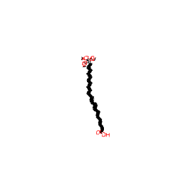 CO[Si](CCCCCCCCCCCCCCCCCCCC(=O)O)(OC)OC